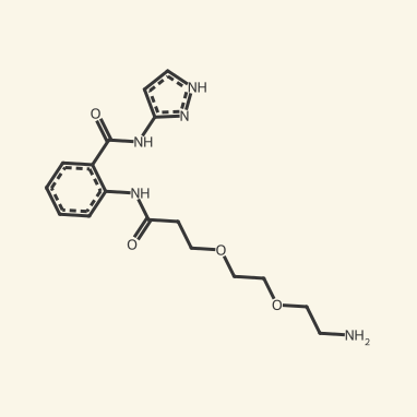 NCCOCCOCCC(=O)Nc1ccccc1C(=O)Nc1cc[nH]n1